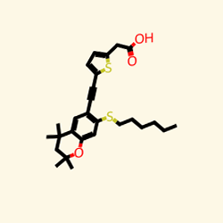 CCCCCCSc1cc2c(cc1C#Cc1ccc(CC(=O)O)s1)C(C)(C)CC(C)(C)O2